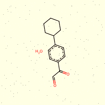 O.O=CC(=O)c1ccc(C2CCCCC2)cc1